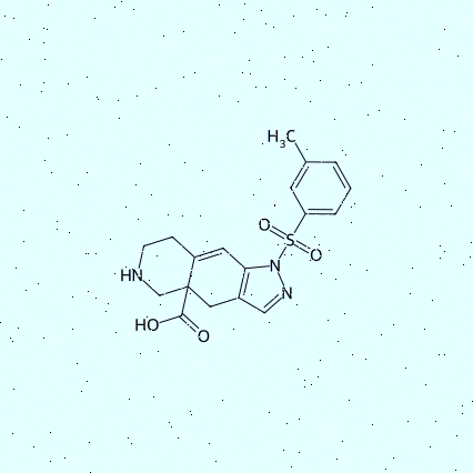 Cc1cccc(S(=O)(=O)n2ncc3c2C=C2CCNCC2(C(=O)O)C3)c1